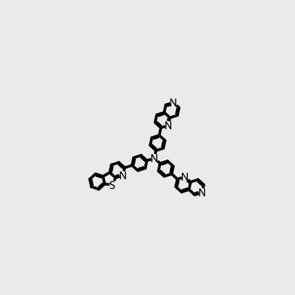 c1ccc2c(c1)sc1nc(-c3ccc(N(c4ccc(-c5ccc6cnccc6n5)cc4)c4ccc(-c5ccc6cnccc6n5)cc4)cc3)ccc12